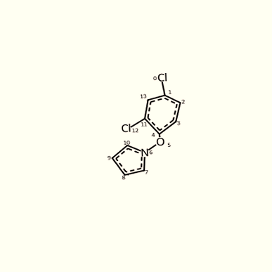 Clc1ccc(On2c[c]cc2)c(Cl)c1